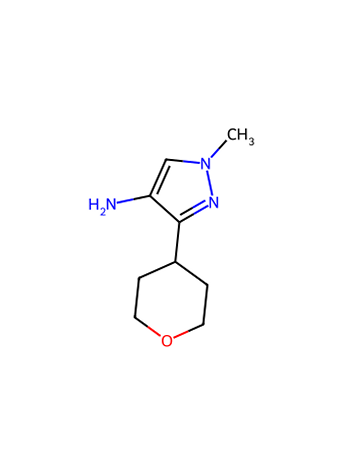 Cn1cc(N)c(C2CCOCC2)n1